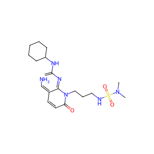 C=C(/N=C1\C(=C/N)C=CC(=O)N1CCCNS(=O)(=O)N(C)C)NC1CCCCC1